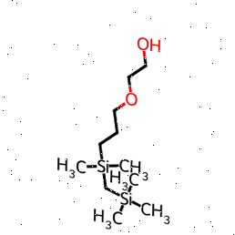 C[Si](C)(C)C[Si](C)(C)CCCOCCO